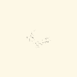 COc1cc(CC(=O)NC(CC(C)C)c2cn(CCC(=O)O)cn2)ccc1NC(=O)Nc1ccccn1